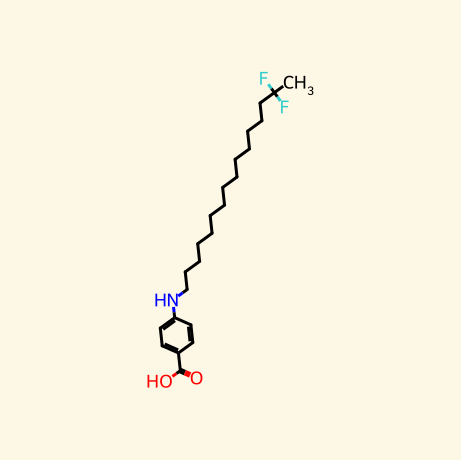 CC(F)(F)CCCCCCCCCCCCCCNc1ccc(C(=O)O)cc1